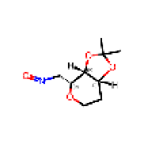 CC1(C)O[C@H]2[C@@H](CN=O)OCC[C@H]2O1